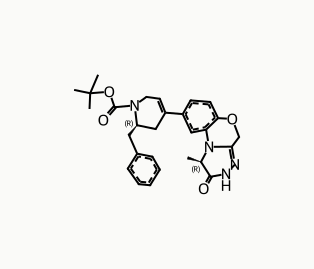 C[C@@H]1C(=O)NN=C2COc3ccc(C4=CCN(C(=O)OC(C)(C)C)[C@H](Cc5ccccc5)C4)cc3N21